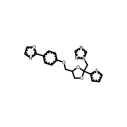 c1csc(C2(Cn3cncn3)OCC(COc3ccc(-c4ncco4)cc3)O2)c1